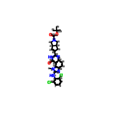 Cn1c(Nc2c(Cl)cccc2Cl)nc2ccc3nc(C4=CC5CN(C(=O)OC(C)(C)C)CC5C4)[nH]c(=O)c3c21